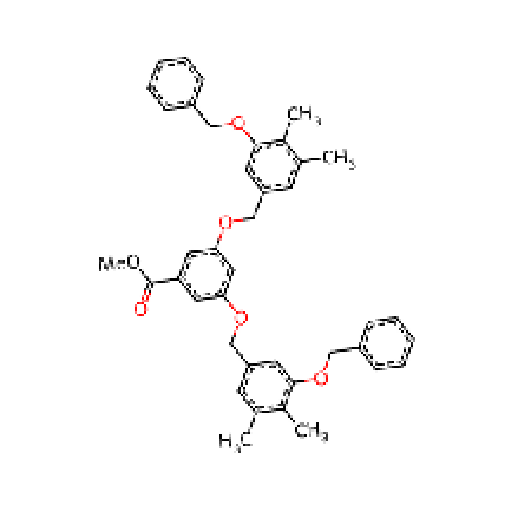 COC(=O)c1cc(OCc2cc(C)c(C)c(OCc3ccccc3)c2)cc(OCc2cc(C)c(C)c(OCc3ccccc3)c2)c1